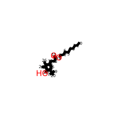 CCCCCCCCCOC(=O)CCc1cc(C(C)(C)C)c(O)c(C)c1C